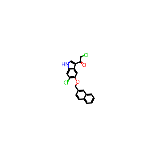 O=C(CCl)c1c[nH]c2cc(Cl)c(OCc3ccc4ccccc4c3)cc12